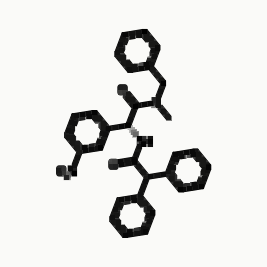 CN(Cc1ccccc1)C(=O)[C@H](NC(=O)C(c1ccccc1)c1ccccc1)c1cccc([N+](=O)[O-])c1